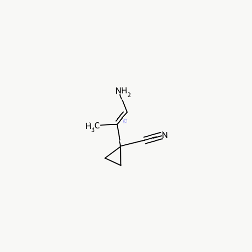 C/C(=C\N)C1(C#N)CC1